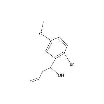 C=CCC(O)c1cc(OC)ccc1Br